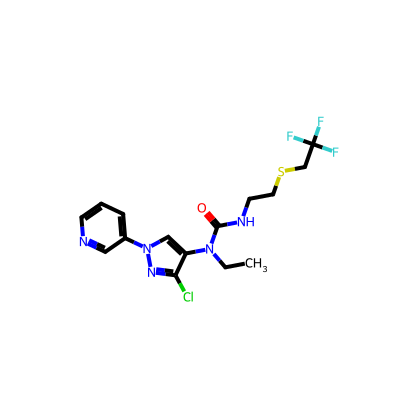 CCN(C(=O)NCCSCC(F)(F)F)c1cn(-c2cccnc2)nc1Cl